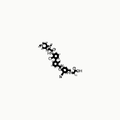 Cc1c(-c2nc3cc(CN[C@@H](C)C(=O)O)cc(C#N)c3o2)cccc1-c1cccc(NC(=O)c2nc3c(n2C)CCN(C)C3)c1Cl